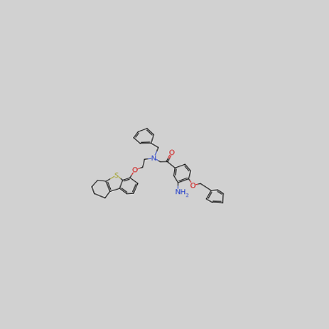 Nc1cc(C(=O)CN(CCOc2cccc3c4c(sc23)CCCC4)Cc2ccccc2)ccc1OCc1ccccc1